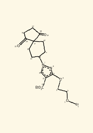 CCOCCOc1nn(C2CCC3(CC2)C(=O)CCC3=O)cc1C(=O)OCC